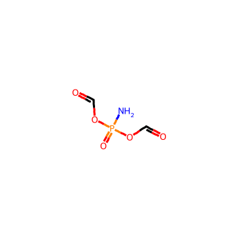 NP(=O)(OC=O)OC=O